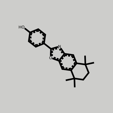 CC1(C)CCC(C)(C)c2cc3oc(-c4ccc(O)cc4)nc3cc21